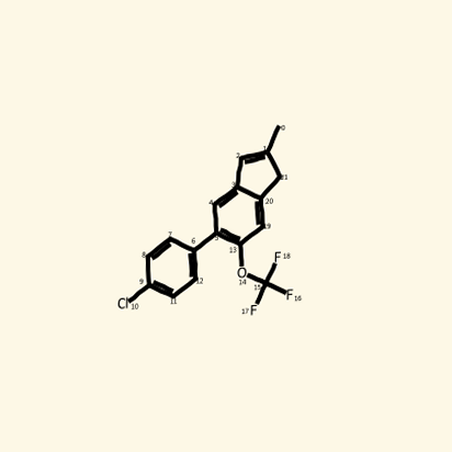 CC1=Cc2cc(-c3ccc(Cl)cc3)c(OC(F)(F)F)cc2C1